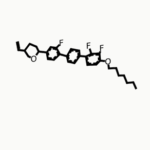 C=CC1CCC(c2ccc(-c3ccc(-c4ccc(OCCCCCCC)c(F)c4F)cc3)c(F)c2)OC1